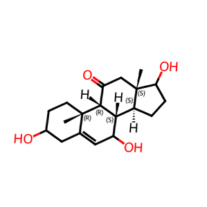 C[C@]12CCC(O)CC1=CC(O)[C@@H]1[C@H]2C(=O)C[C@]2(C)C(O)CC[C@@H]12